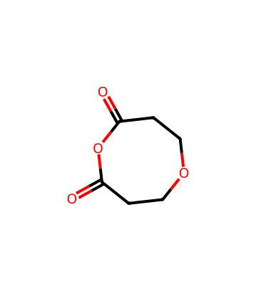 O=C1CCOCCC(=O)O1